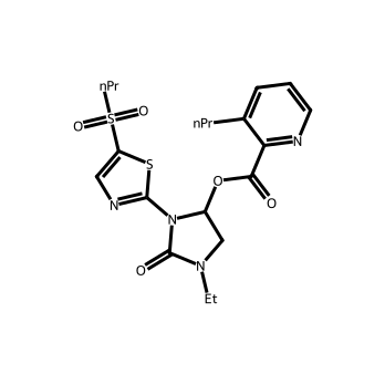 CCCc1cccnc1C(=O)OC1CN(CC)C(=O)N1c1ncc(S(=O)(=O)CCC)s1